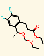 CCOCO[C@H](C)c1cc(F)c(F)cc1CCC(=O)OCC